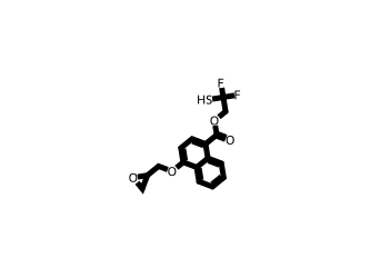 O=C(OCC(F)(F)S)c1ccc(OCC2CO2)c2ccccc12